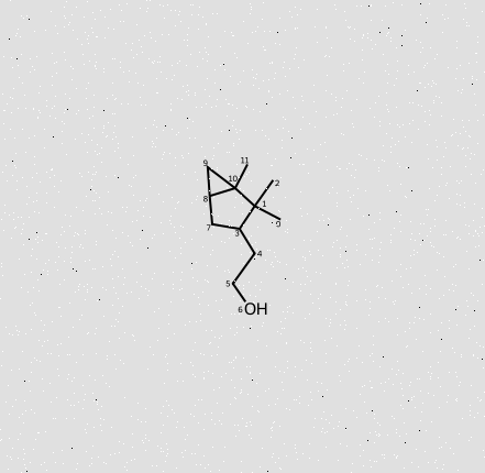 CC1(C)C(CCO)CC2CC21C